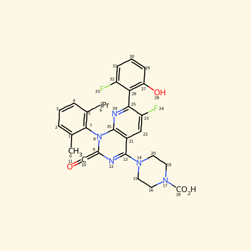 Cc1cccc(C(C)C)c1N1C(=C=O)N=C(N2CCN(C(=O)O)CC2)c2cc(F)c(-c3c(O)cccc3F)nc21